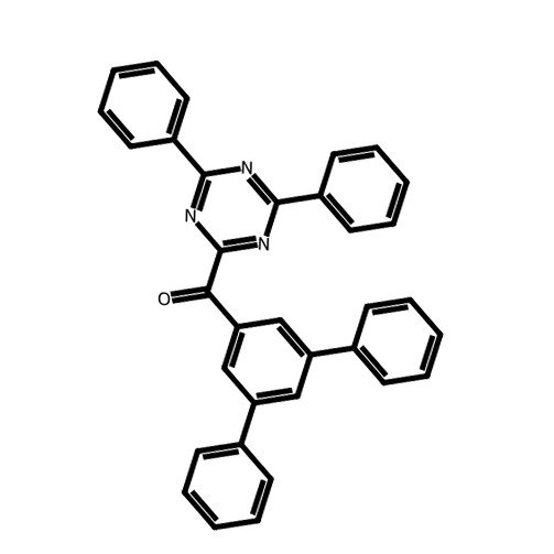 O=C(c1cc(-c2ccccc2)cc(-c2ccccc2)c1)c1nc(-c2ccccc2)nc(-c2ccccc2)n1